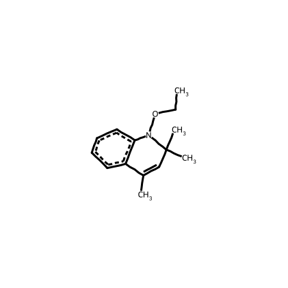 CCON1c2ccccc2C(C)=CC1(C)C